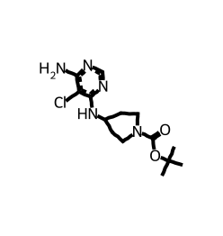 CC(C)(C)OC(=O)N1CCC(Nc2ncnc(N)c2Cl)CC1